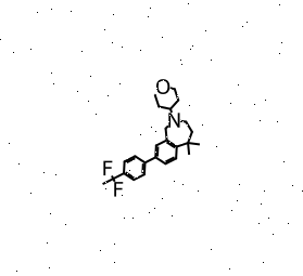 CC(F)(F)c1ccc(-c2ccc3c(c2)CN(C2CCOCC2)CCC3(C)C)cc1